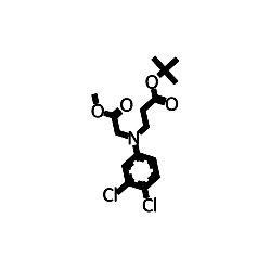 COC(=O)CN(CCC(=O)OC(C)(C)C)c1ccc(Cl)c(Cl)c1